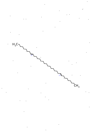 CCCCCC[CH]C/C=C/CCCCCCCCCCCCCCC/C=C/C[CH]CCCCCC